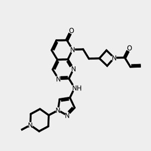 C=CC(=O)N1CC(CCn2c(=O)ccc3cnc(Nc4cnn(C5CCN(C)CC5)c4)nc32)C1